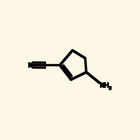 N#CC1=CC(N)CC1